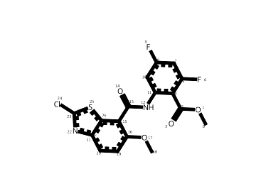 COC(=O)c1c(F)cc(F)cc1NC(=O)c1c(OC)ccc2nc(Cl)sc12